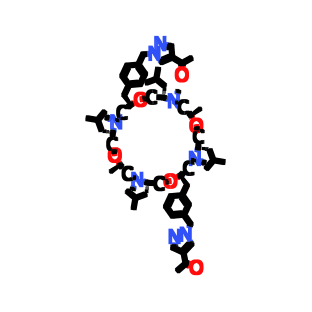 CC(=O)c1cnn(Cc2ccc(C[C@@H]3CN(C)[C@@H](CC(C)C)CO[C@H](C)CN(C)[C@@H](CC(C)C)CO[C@H](Cc4cccc(Cn5cc(C(C)=O)cn5)c4)CN(C)[C@@H](CC(C)C)CO[C@H](C)CN(C)[C@@H](CC(C)C)CO3)cc2)c1